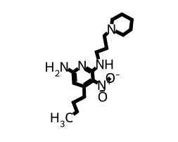 CCCCc1cc(N)nc(NCCCN2CCCCC2)c1[N+](=O)[O-]